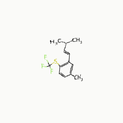 Cc1ccc(SC(F)(F)F)c(/C=C/C(C)C)c1